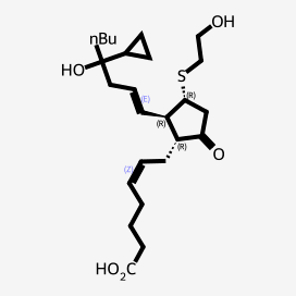 CCCCC(O)(C/C=C/[C@H]1[C@H](SCCO)CC(=O)[C@@H]1C/C=C\CCCC(=O)O)C1CC1